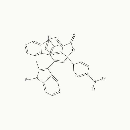 CCN(CC)c1ccc(C2(/C=C(\c3c(C)[nH]c4ccccc34)c3c(C)n(CC)c4ccccc34)OC(=O)c3ccccc32)cc1